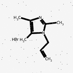 Br.C=CCn1c(C)nc(C)c1C